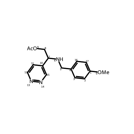 COc1ccc(CNC(COC(C)=O)c2ccnnc2)cc1